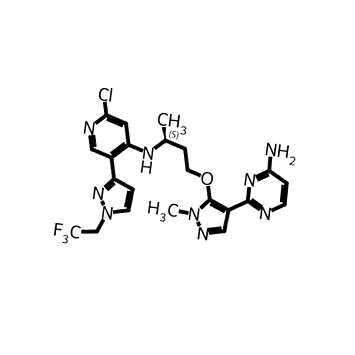 C[C@@H](CCOc1c(-c2nccc(N)n2)cnn1C)Nc1cc(Cl)ncc1-c1ccn(CC(F)(F)F)n1